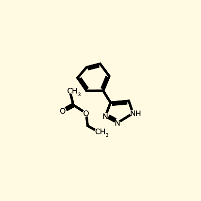 CCOC(C)=O.c1ccc(-c2c[nH]nn2)cc1